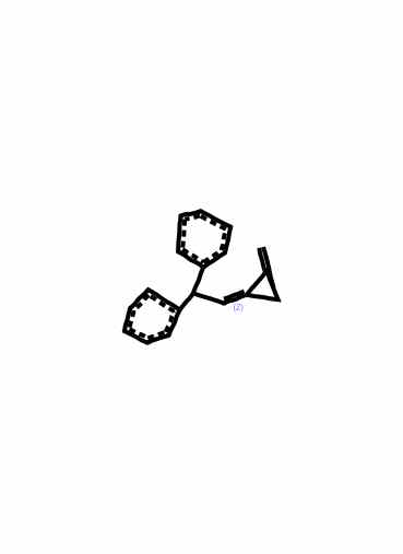 C=C1C/C1=C/C(c1ccccc1)c1ccccc1